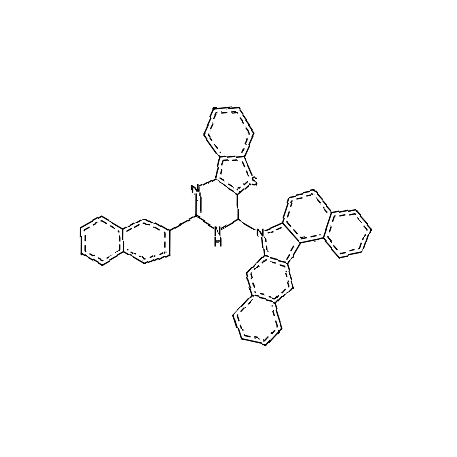 c1ccc2cc(C3=Nc4c(sc5ccccc45)C(n4c5cc6ccccc6cc5c5c6ccccc6ccc54)N3)ccc2c1